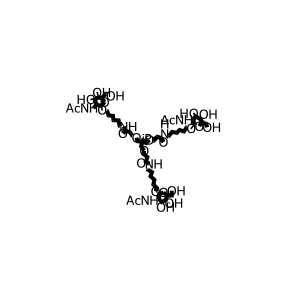 CC(=O)NC1[C@H](OCCCCCCNC(=O)CCOCC(COCCC(=O)NCCCCCCO[C@@H]2OC(CO)[C@H](O)[C@H](O)C2NC(C)=O)(COCCC(=O)NCCCCCCO[C@@H]2OC(CO)[C@H](O)[C@H](O)C2NC(C)=O)C(C)C)OC(CO)[C@H](O)[C@@H]1O